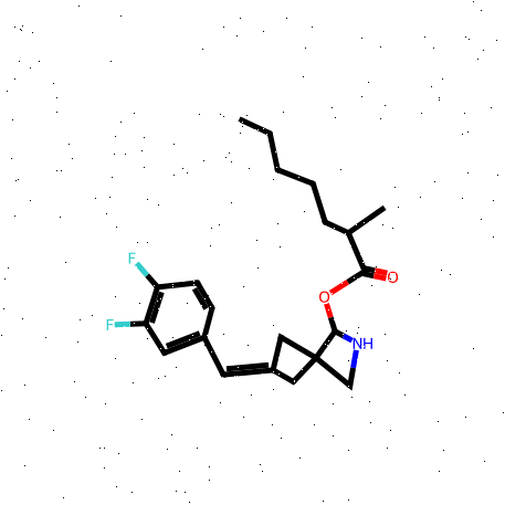 CCCCCC(C)C(=O)OC1NCC12CC(=Cc1ccc(F)c(F)c1)C2